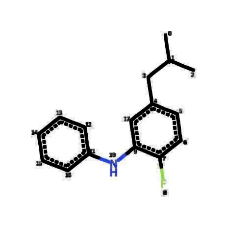 C[C](C)Cc1ccc(F)c(Nc2ccccc2)c1